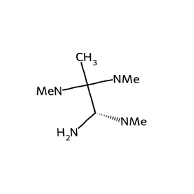 CN[C@H](N)C(C)(NC)NC